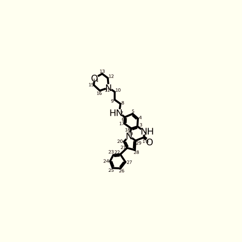 O=c1[nH]c2ccc(NCCCN3CCOCC3)cc2n2cc(-c3ccccc3)cc12